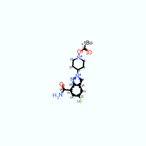 CC(C)(C)C(=O)ON1CCC(n2cc3cc(F)cc(C(N)=O)c3n2)CC1